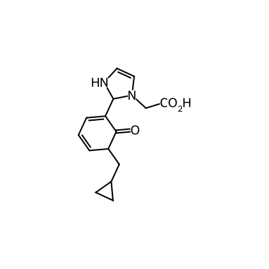 O=C(O)CN1C=CNC1C1=CC=CC(CC2CC2)C1=O